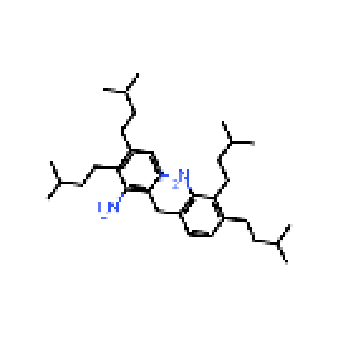 CC(C)CCc1ccc(Cc2ccc(CCC(C)C)c(CCC(C)C)c2N)c(N)c1CCC(C)C